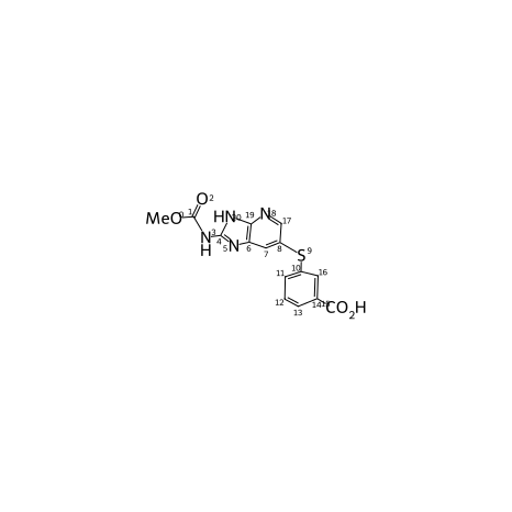 COC(=O)Nc1nc2cc(Sc3cccc(C(=O)O)c3)cnc2[nH]1